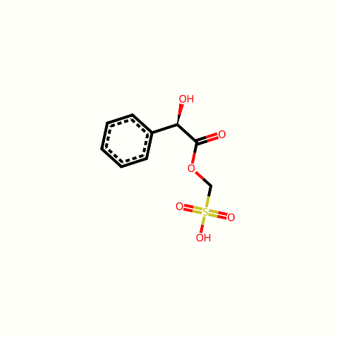 O=C(OCS(=O)(=O)O)[C@H](O)c1ccccc1